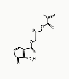 C=C(C)C(=O)OCC(O)COC(=O)C1=C(S(=O)(=O)O)C(=O)CC=C1